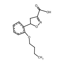 CCCCOc1ccccc1C1CC(C(=O)O)=NO1